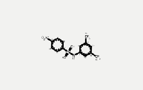 O=[N+]([O-])c1ccc(S(=O)(=O)Nc2cc(C(F)(F)F)cc(C(F)(F)F)c2)cc1